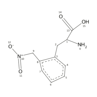 NC(Cc1ccccc1C[N+](=O)[O-])C(=O)O